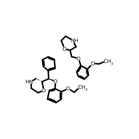 CCOc1ccccc1OCC1CNCCO1.CCOc1ccccc1O[C@H](c1ccccc1)[C@H]1CNCCO1